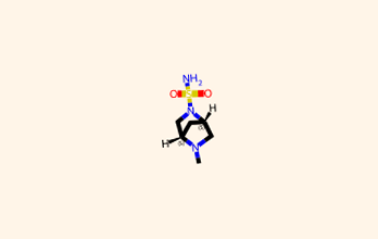 CN1C[C@@H]2C[C@H]1CN2S(N)(=O)=O